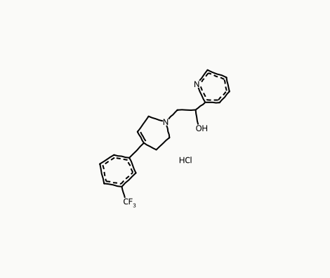 Cl.OC(CN1CC=C(c2cccc(C(F)(F)F)c2)CC1)c1ccccn1